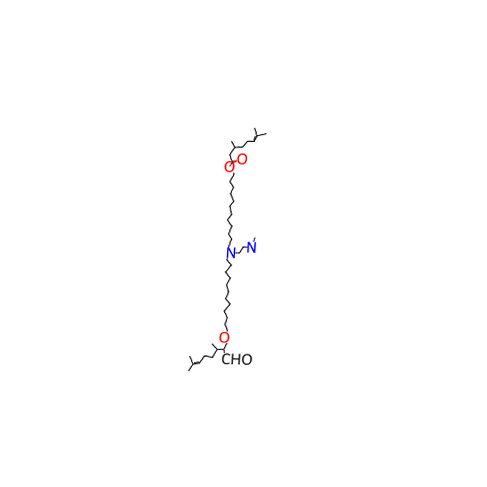 CC(C)=CCCC(C)CC(=O)OCCCCCCCCCCCCN(CCCCCCCCCCCCOCC(C=O)C(C)CCC=C(C)C)CCN(C)C